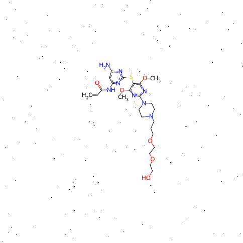 C=CC(=O)Nc1cc(N)nc(Sc2c(OC)nc(N3CCN(CCCOCCOCCO)CC3)nc2OC)n1